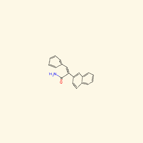 NC(=O)C(=Cc1ccccc1)c1ccc2ccccc2c1